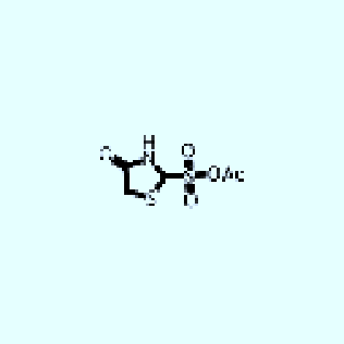 CC(=O)OS(=O)(=O)C1NC(=O)CS1